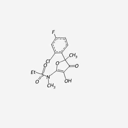 CCS(=O)(=O)N(C)C1=C(O)C(=O)C(C)(c2ccc(F)cc2Cl)O1